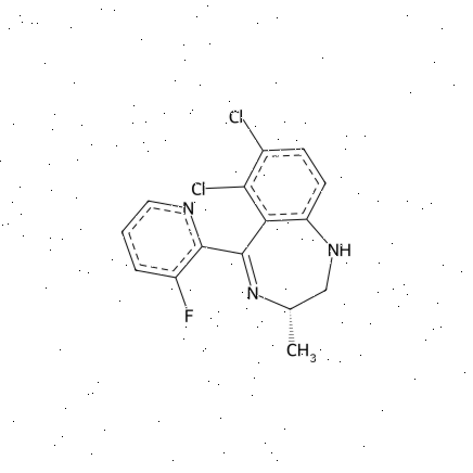 C[C@H]1CNc2ccc(Cl)c(Cl)c2C(c2ncccc2F)=N1